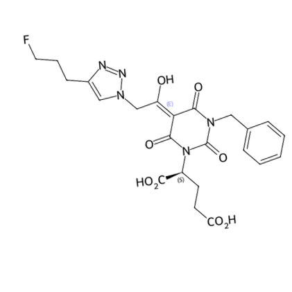 O=C(O)CC[C@@H](C(=O)O)N1C(=O)/C(=C(/O)Cn2cc(CCCF)nn2)C(=O)N(Cc2ccccc2)C1=O